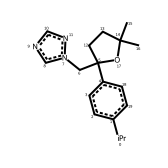 CC(C)c1ccc(C2(Cn3cncn3)CCC(C)(C)O2)cc1